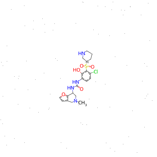 CN1Cc2ccoc2C(NC(=O)Nc2ccc(Cl)c(S(=O)(=O)[C@H]3CCCNC3)c2O)C1